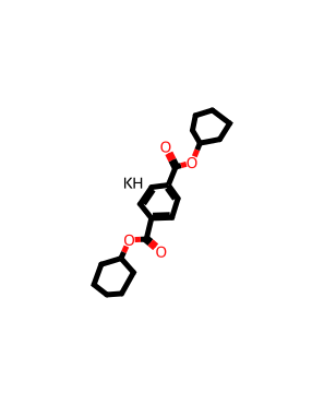 O=C(OC1CCCCC1)c1ccc(C(=O)OC2CCCCC2)cc1.[KH]